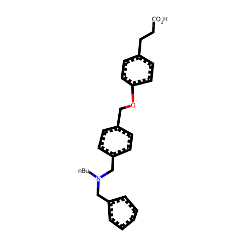 CCCCN(Cc1ccccc1)Cc1ccc(COc2ccc(CCC(=O)O)cc2)cc1